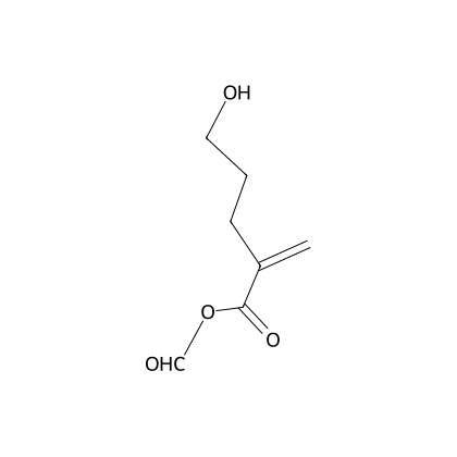 C=C(CCCO)C(=O)OC=O